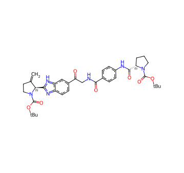 C=C1CCN(C(=O)OC(C)(C)C)[C@@H]1c1nc2ccc(C(=O)CNC(=O)c3ccc(NC(=O)[C@@H]4CCCN4C(=O)OC(C)(C)C)cc3)cc2[nH]1